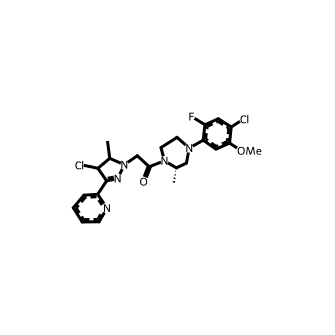 COc1cc(N2CCN(C(=O)CN3N=C(c4ccccn4)C(Cl)C3C)[C@@H](C)C2)c(F)cc1Cl